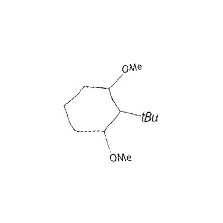 COC1CCCC(OC)C1C(C)(C)C